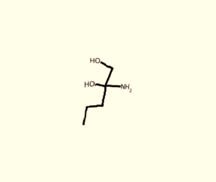 CCCC(N)(O)CO